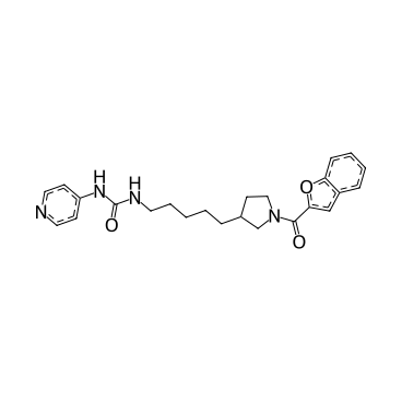 O=C(NCCCCCC1CCN(C(=O)c2cc3ccccc3o2)C1)Nc1ccncc1